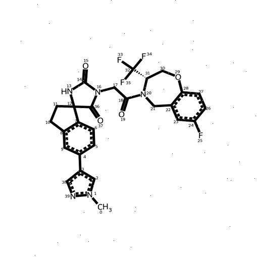 Cn1cc(-c2ccc3c(c2)CCC32NC(=O)N(CC(=O)N3Cc4cc(F)ccc4OC[C@H]3C(F)(F)F)C2=O)cn1